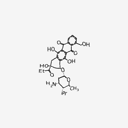 CCC(=O)[C@]1(O)Cc2c(O)c3c(c(O)c2[C@@H](O[C@H]2C[C@@H](N)[C@@H](C(C)C)C(C)O2)C1)C(=O)c1c(CO)cccc1C3=O